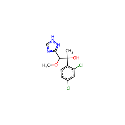 COC(c1nc[nH]n1)C(C)(O)c1ccc(Cl)cc1Cl